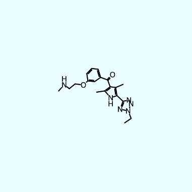 CCn1nnc(-c2[nH]c(C)c(C(=O)c3cccc(OCCNC)c3)c2C)n1